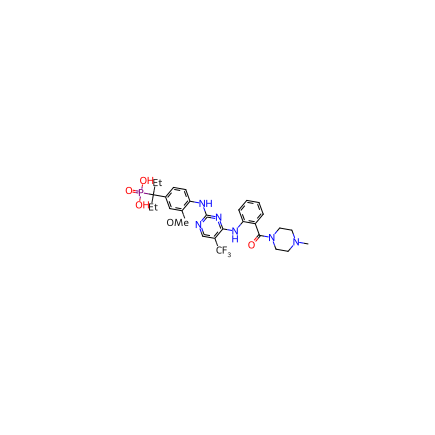 CCC(CC)(c1ccc(Nc2ncc(C(F)(F)F)c(Nc3ccccc3C(=O)N3CCN(C)CC3)n2)c(OC)c1)P(=O)(O)O